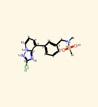 CN(Cc1cccc(-c2cccn3nc(Cl)nc23)c1)S(C)(=O)=O